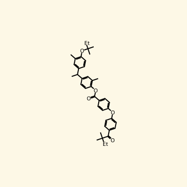 CCC(C)(C)Oc1ccc(C(C)c2ccc(OC(=O)c3ccc(Oc4ccc(C(=O)C(C)(C)CC)cc4)cc3)c(C)c2)cc1C